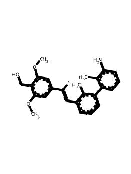 COc1cc(C(F)=Cc2cccc(-c3cccc(N)c3C)c2C)cc(OC)c1CO